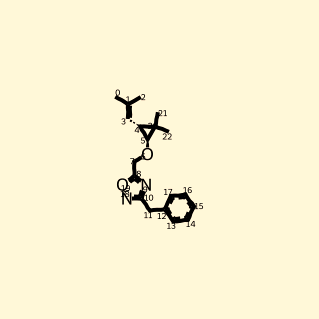 CC(C)=C[C@H]1[C@H](OCc2nc(Cc3ccccc3)no2)C1(C)C